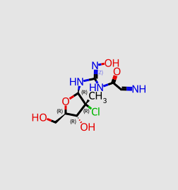 C[C@]1(Cl)[C@H](N/C(=N/O)NC(=O)C=N)O[C@H](CO)[C@H]1O